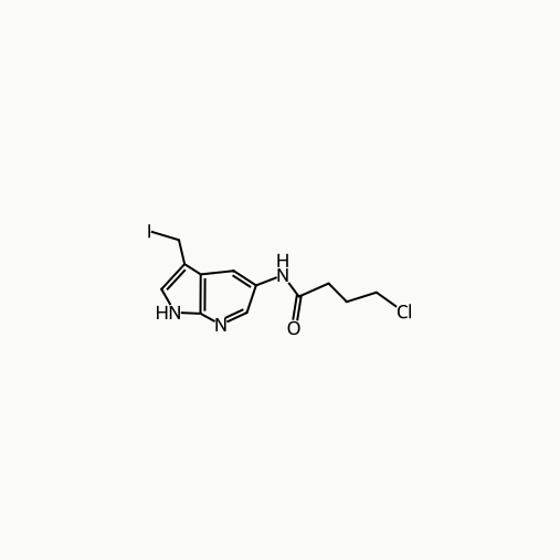 O=C(CCCCl)Nc1cnc2[nH]cc(CI)c2c1